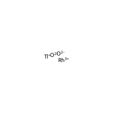 [O-2].[O-2].[Rh+3].[Tl+]